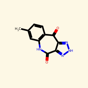 Cc1ccc2c(=O)c3n[nH]nc3c(=O)[nH]c2c1